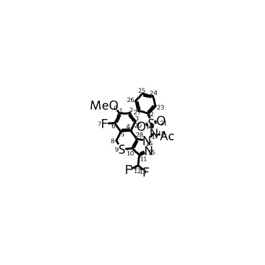 COc1ccc2c(c1F)CSc1c(C(F)F)nn(N(C(C)=O)S(=O)(=O)c3ccccc3)c1-2